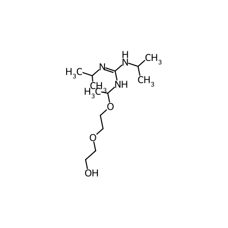 CC(C)/N=C(/NC(C)C)NC(C)OCCOCCO